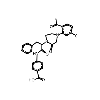 CC(=O)c1ccc(Cl)cc1N1CCN(C(Cc2ccccc2)C(=O)Nc2ccc(C(=O)O)cc2)C(=O)C1